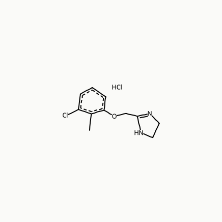 Cc1c(Cl)cccc1OCC1=NCCN1.Cl